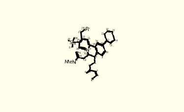 C=C(/C=C\C)CCC1c2ccc(C3CCCCC3)cc2-c2cc(CC(C)C)c([Si](C)(C)C)c[n+]2C1CC(=C)NC